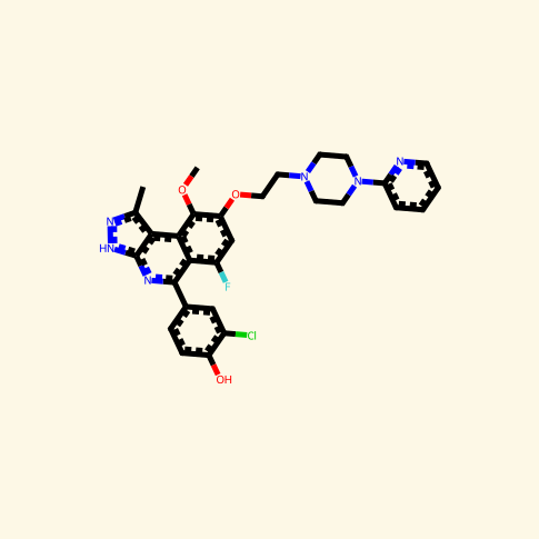 COc1c(OCCN2CCN(c3ccccn3)CC2)cc(F)c2c(-c3ccc(O)c(Cl)c3)nc3[nH]nc(C)c3c12